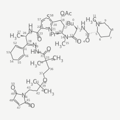 CC[C@H](C)[C@H](NC(=O)[C@H]1CCCCN1C)C(=O)N(C)[C@H](C[C@@H](OC(C)=O)c1nc(C(=O)N[C@H](C)C(=NNC(=O)C(C)(C)CCOC(C)(C)CCN2C(=O)C=CC2=O)C2=CCCC=C2)cs1)C(C)C